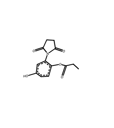 CCC(=O)Oc1ccc(O)cc1N1C(=O)CCC1=O